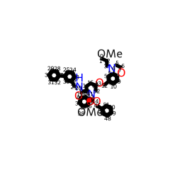 COCCCN1CCOc2ccc(CO[C@@H]3CC[C@@](C(=O)NCc4cccc(-c5ccccc5)c4)(c4ccc(OC)cc4)N(C(=O)OCc4ccccc4)C3)cc21